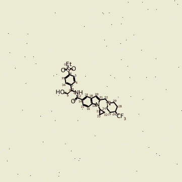 CCS(=O)(=O)c1ccc([C@H](CO)NC(=O)c2ccc3c(c2)cc(CN2CCC(C(F)(F)F)CC2)n3C2CC2)cc1